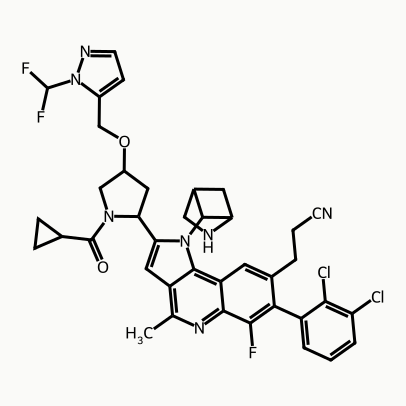 Cc1nc2c(F)c(-c3cccc(Cl)c3Cl)c(CCC#N)cc2c2c1cc(C1CC(OCc3ccnn3C(F)F)CN1C(=O)C1CC1)n2C1C2CNC1C2